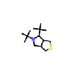 CC(C)(C)C1C2CSCC2CN1C(C)(C)C